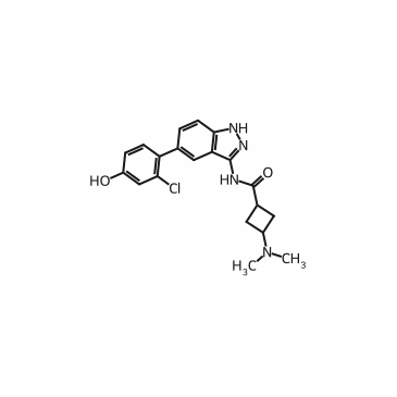 CN(C)C1CC(C(=O)Nc2n[nH]c3ccc(-c4ccc(O)cc4Cl)cc23)C1